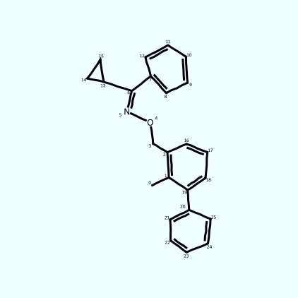 Cc1c(CON=C(c2ccccc2)C2CC2)cccc1-c1ccccc1